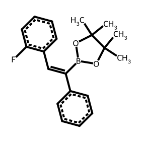 CC1(C)OB(C(=Cc2ccccc2F)c2ccccc2)OC1(C)C